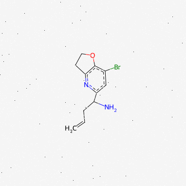 C=CCC(N)c1cc(Br)c2c(n1)CCO2